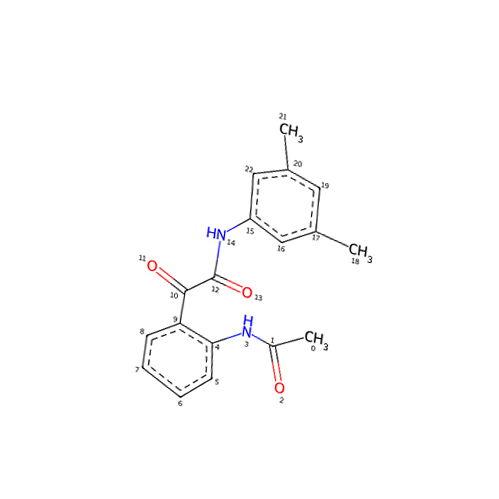 CC(=O)Nc1ccccc1C(=O)C(=O)Nc1cc(C)cc(C)c1